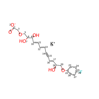 O=C([O-])COC[C@H](O)[C@H](O)/C=C/C=C/C#C/C=C/[C@H](O)COc1ccc(F)cc1.[K+]